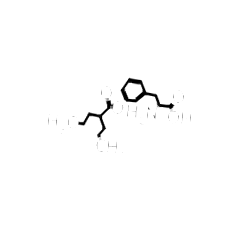 CCCC(CCC)C(=O)Oc1cccc(CC(N)C(=O)O)c1